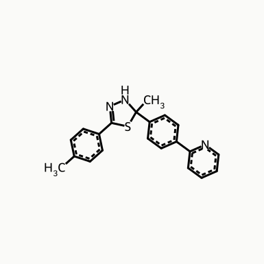 Cc1ccc(C2=NNC(C)(c3ccc(-c4ccccn4)cc3)S2)cc1